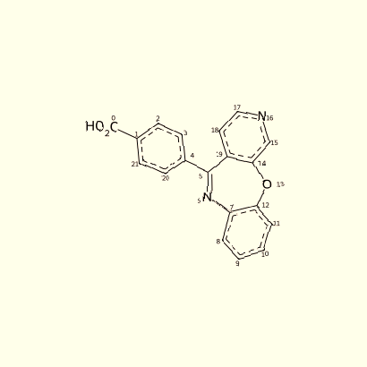 O=C(O)c1ccc(C2=Nc3ccccc3Oc3cnccc32)cc1